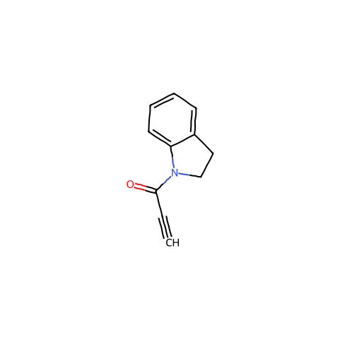 C#CC(=O)N1CCc2ccccc21